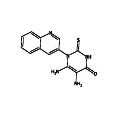 Nc1c(N)n(-c2cnc3ccccc3c2)c(=S)[nH]c1=O